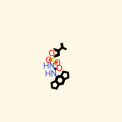 C=C(C)c1coc(S(=O)(=O)NC(=O)Nc2c3c(cc4c2CCC4)CCC3)c1